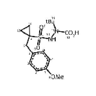 COc1ccc(CC2(S(=O)(=O)NN(C(=O)O)C(C)(C)C)CC2)cc1